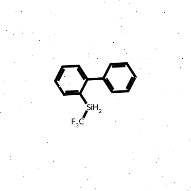 FC(F)(F)[SiH2]c1ccccc1-c1ccccc1